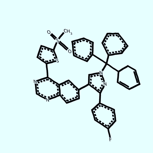 CS(=O)(=O)c1ccc(-c2ncnc3ccc(-c4cn(C(c5ccccc5)(c5ccccc5)C5C=CC=CC5)nc4-c4ccc(F)cc4)cc23)s1